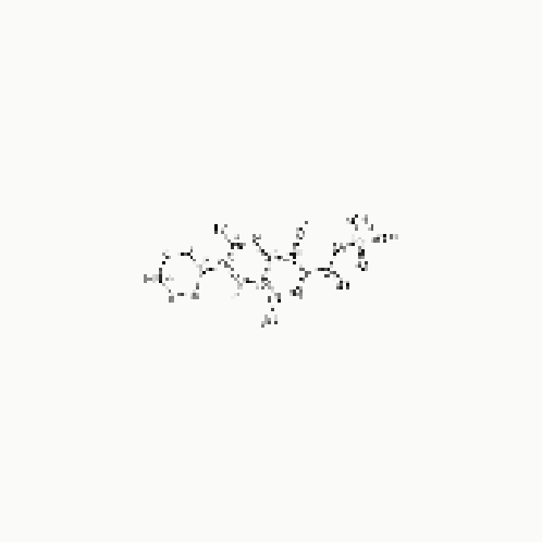 CCn1cc(C(=O)OS(C)(=O)=O)c(=O)c2cc(F)c(N3CCNCC3)nc21